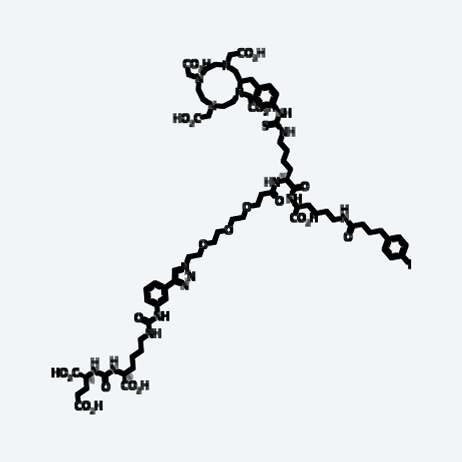 O=C(O)CC[C@H](NC(=O)N[C@@H](CCCCNC(=O)Nc1cccc(-c2cn(CCOCCOCCOCCC(=O)N[C@@H](CCCCNC(=S)Nc3ccc(CC4CN(CC(=O)O)CCN(CC(=O)O)CCN(CC(=O)O)CCN4CC(=O)O)cc3)C(=O)NC(CCCCNC(=O)CCCc3ccc(I)cc3)C(=O)O)nn2)c1)C(=O)O)C(=O)O